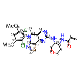 C=CC(=O)N[C@H]1CCOC[C@H]1Nc1ncc2c(n1)-c1scnc1N(c1c(Cl)c(OC)cc(OC)c1Cl)C2C